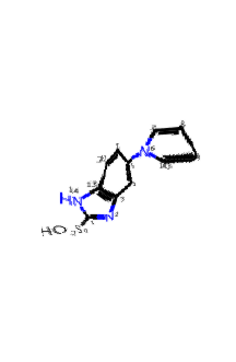 O=S(=O)(O)c1nc2cc(-n3cccc3)ccc2[nH]1